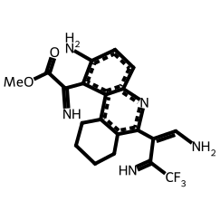 COC(=O)C(=N)c1c(N)ccc2nc(/C(=C/N)C(=N)C(F)(F)F)c3c(c12)CCCC3